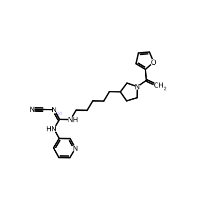 C=C(c1ccco1)N1CCC(CCCCCN/C(=N/C#N)Nc2cccnc2)C1